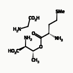 CSCC[C@H](N)C(=O)O[C@H](C)[C@H](N)C(=O)O.NCC(=O)O